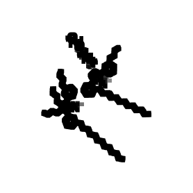 CCCCCCCCCC=CCCc1ccccc1C1=CC=C(c2cccc(CCCC)c2)[N+]1=[N-].CCCCCCCCCCCCCc1cccc(C2=C(CCCC)C(CCCC)=C(c3cccc(CCCC)c3)[N+]2=[N-])c1.C[N](C)[Ni][N](C)C.C[O][Pd][O]C